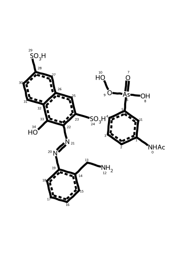 CC(=O)Nc1cccc([As](=O)(O)OO)c1.NCc1ccccc1N=Nc1c(S(=O)(=O)O)cc2cc(S(=O)(=O)O)ccc2c1O